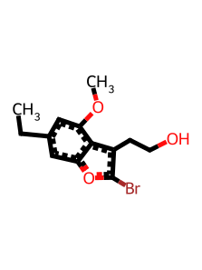 CCc1cc(OC)c2c(CCO)c(Br)oc2c1